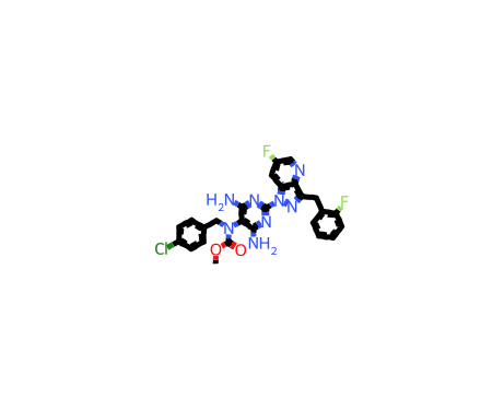 COC(=O)N(Cc1ccc(Cl)cc1)c1c(N)nc(-n2nc(Cc3ccccc3F)c3ncc(F)cc32)nc1N